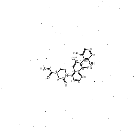 C=CC(=O)N1CCN(c2ncnc3c(F)c(-c4c(O)cccc4F)c(Cl)cc23)C(=O)C1